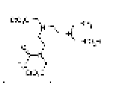 CCOC(=O)CN(CCN(CC(=O)OCC)CC(F)(F)F)CCN(CC(=O)OCC)C(=O)C(F)(F)F